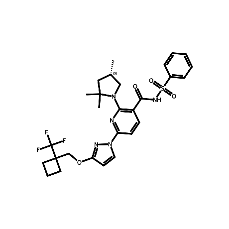 C[C@@H]1CN(c2nc(-n3ccc(OCC4(C(F)(F)F)CCC4)n3)ccc2C(=O)NS(=O)(=O)c2ccccc2)C(C)(C)C1